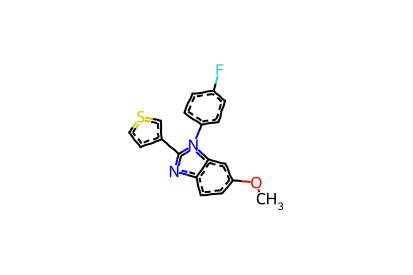 COc1ccc2nc(-c3ccsc3)n(-c3ccc(F)cc3)c2c1